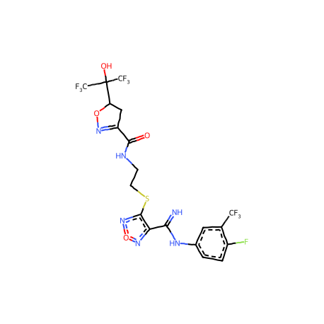 N=C(Nc1ccc(F)c(C(F)(F)F)c1)c1nonc1SCCNC(=O)C1=NOC(C(O)(C(F)(F)F)C(F)(F)F)C1